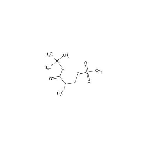 C[C@@H](COS(C)(=O)=O)C(=O)OC(C)(C)C